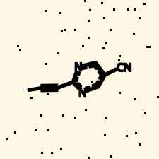 CC#Cc1ncc(C#N)cn1